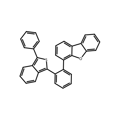 c1ccc(-c2sc(-c3ccccc3-c3cccc4c3oc3ccccc34)c3ccccc23)cc1